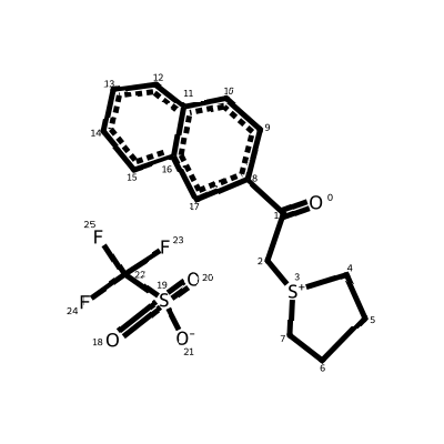 O=C(C[S+]1CCCC1)c1ccc2ccccc2c1.O=S(=O)([O-])C(F)(F)F